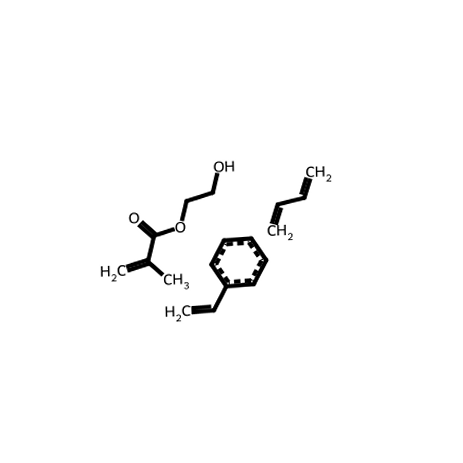 C=C(C)C(=O)OCCO.C=CC=C.C=Cc1ccccc1